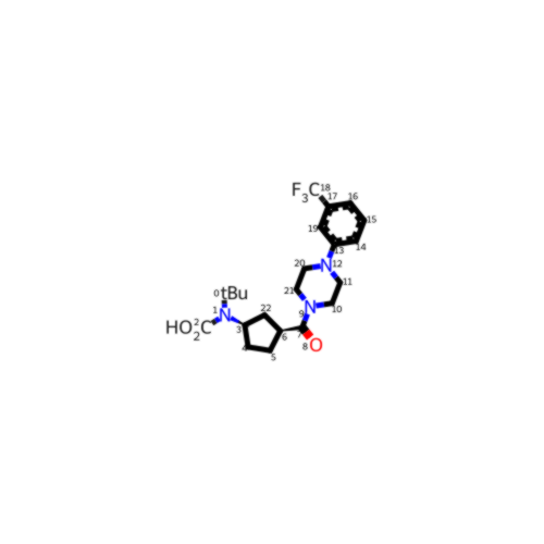 CC(C)(C)N(C(=O)O)[C@@H]1CC[C@H](C(=O)N2CCN(c3cccc(C(F)(F)F)c3)CC2)C1